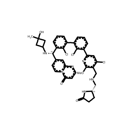 COc1nc(-c2cccc(-c3cccc([C@@H](NC4CC(C)(O)C4)c4ccn5c(=O)ccnc5c4)c3Cl)c2Cl)cc(Cl)c1CNC[C@@H]1CCC(=O)N1